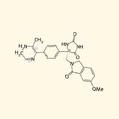 C/C=N\C(=C(\C)N)c1ccc([C@@]2(CN3Cc4ccc(OC)cc4C3=O)NC(=O)NC2=O)cc1